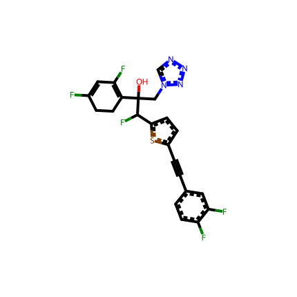 OC(Cn1cnnn1)(C1=C(F)C=C(F)CC1)C(F)c1ccc(C#Cc2ccc(F)c(F)c2)s1